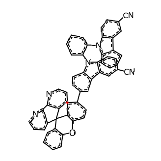 N#Cc1ccc2c(c1)c1ccccc1n2-c1ccccc1-n1c2ccc(C#N)cc2c2cc(-c3ccc4c(c3)C3(c5ccccc5O4)c4cccnc4-c4ncccc43)ccc21